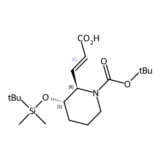 CC(C)(C)OC(=O)N1CCC[C@H](O[Si](C)(C)C(C)(C)C)[C@H]1/C=C/C(=O)O